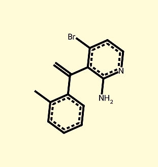 C=C(c1ccccc1C)c1c(Br)ccnc1N